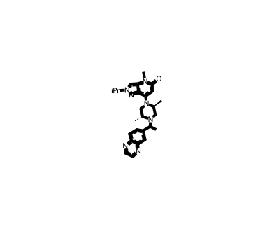 CC(c1ccc2nccnc2c1)N1C[C@H](C)N(c2cc(=O)n(C)c3cn(C(C)C)nc23)C[C@H]1C